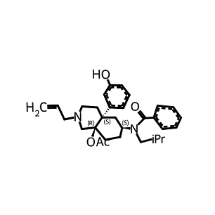 C=CCN1CC[C@@]2(c3cccc(O)c3)C[C@@H](N(CC(C)C)C(=O)c3ccccc3)CC[C@]2(OC(C)=O)C1